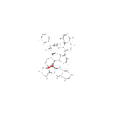 c1ccc(C2=NC(c3c(-c4ccc(-c5c6ccccc6cc6c5oc5ccccc56)cc4)ccc4ccccc34)NC(c3ccccc3)N2)cc1